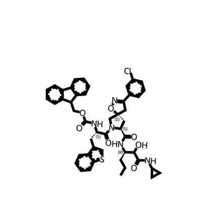 CCC[C@@H](NC(=O)[C@@H]1C[C@]2(CC(c3cccc(Cl)c3)=NO2)CN1C(=O)[C@H](Cc1csc2ccccc12)NC(=O)OCC1c2ccccc2-c2ccccc21)C(O)C(=O)NC1CC1